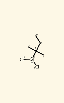 CCC(C)(C)[SiH](Cl)Cl